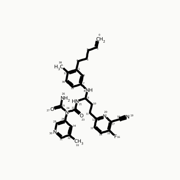 C=CCCCc1cc(NC(CCc2ccc(F)c(C#N)n2)NC(=O)N(C(N)=O)c2cncc(C)c2)ccc1C